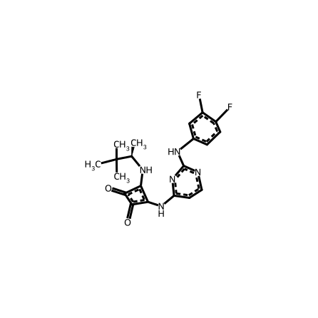 C[C@@H](Nc1c(Nc2ccnc(Nc3ccc(F)c(F)c3)n2)c(=O)c1=O)C(C)(C)C